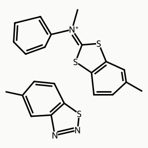 Cc1ccc2s/c(=[N+](/C)c3ccccc3)sc2c1.Cc1ccc2snnc2c1